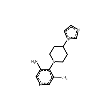 Cc1cncc(N)c1N1CCC(n2ccnc2)CC1